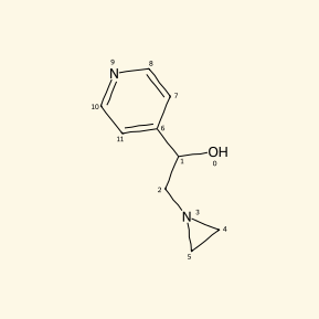 OC(CN1CC1)c1ccncc1